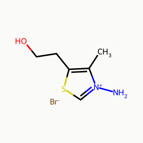 Cc1c(CCO)sc[n+]1N.[Br-]